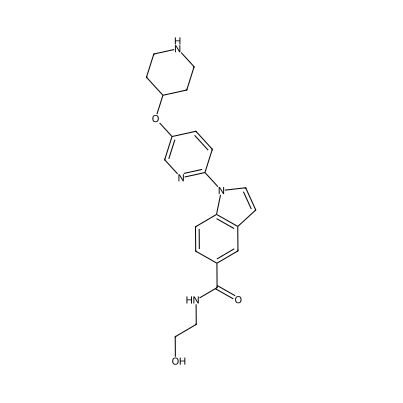 O=C(NCCO)c1ccc2c(ccn2-c2ccc(OC3CCNCC3)cn2)c1